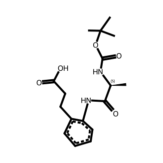 C[C@H](NC(=O)OC(C)(C)C)C(=O)Nc1ccccc1CCC(=O)O